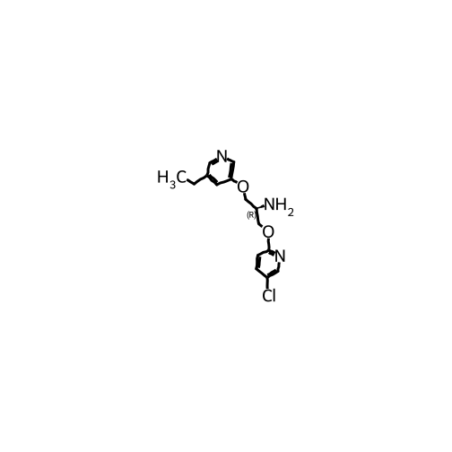 CCc1cncc(OC[C@@H](N)COc2ccc(Cl)cn2)c1